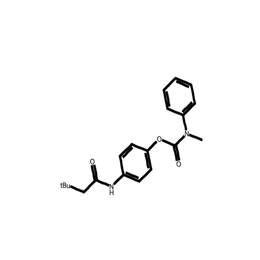 CN(C(=O)Oc1ccc(NC(=O)CC(C)(C)C)cc1)c1ccccc1